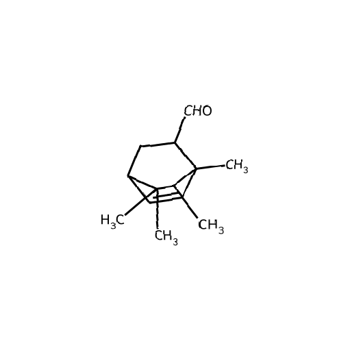 CC1C(C)(C)C2C=CC1(C)C(C=O)C2